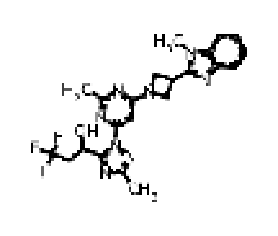 Cc1nc(N2CC(c3nc4ccccc4n3C)C2)cc(-n2nc(C)nc2C(O)CC(F)(F)F)n1